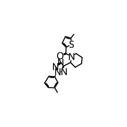 Cc1cccc(-n2nnc(C3CCCCN3C(=O)c3ccc(C)s3)n2)c1